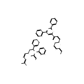 C=C(/C=C\[C@@H](C)C/C=C\C=C/C)c1cc(-c2cccc([C@H]3C=CC(C(CC/C=C\C=C(C)C)[SH](/C(C)=C/CC)c4ccccc4)=CC3)c2)nc(-c2ccccc2)n1